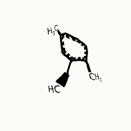 C#Cc1[c]c(C)ccc1C